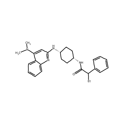 CCC(C(=O)N[C@H]1CC[C@@H](Nc2cc(N(C)C)c3ccccc3n2)CC1)c1ccccc1